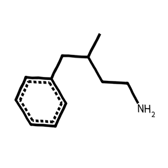 CC(CCN)Cc1ccccc1